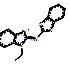 CCn1/c(=N/c2nc3ccccc3s2)[nH]c2ccccc21